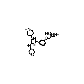 CNCC(O)COc1cccc(-c2nc(C3CCNCC3)cc(N(C)C3CCOCC3)n2)c1